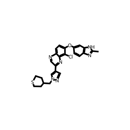 Cc1nc2ccc(Oc3ccc4ncc(-c5cnn(CC6CCSCC6)c5)nc4c3Cl)cc2[nH]1